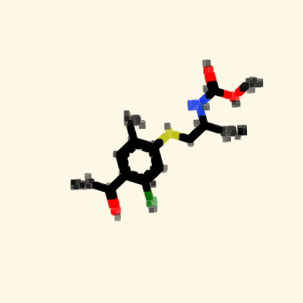 COC(=O)c1cc([N+](=O)[O-])c(SCC(NC(=O)OC(C)(C)C)C(=O)O)cc1Cl